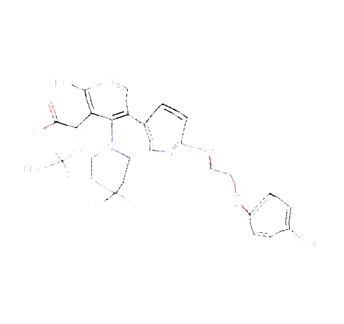 Cc1ccc(OCCOc2ccc(-c3cnc(C)c([C@H](OC(C)(C)C)C(=O)O)c3N3CCC(C)(C)CC3)cn2)cc1